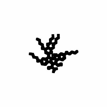 CCCCOCC1OC(n2c3cc(OCCCC)ccc3c3c(C(=O)N(C)C)c(C=O)c4c5ccc(OCCCC)cc5[nH]c4c32)=CC(OCCCC)C1OCCCC